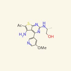 COc1cncc(-c2nc(N[C@H](C)CO)nc3sc(C(C)=O)c(N)c23)c1